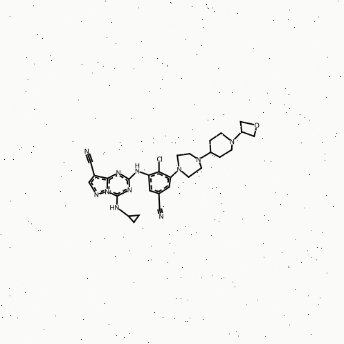 N#Cc1cc(Nc2nc(NC3CC3)n3ncc(C#N)c3n2)c(Cl)c(N2CCN(C3CCN(C4COC4)CC3)CC2)c1